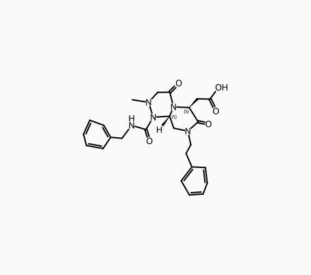 CN1CC(=O)N2[C@@H](CC(=O)O)C(=O)N(CCc3ccccc3)C[C@@H]2N1C(=O)NCc1ccccc1